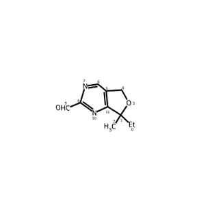 CCC1(C)OCc2cnc(C=O)nc21